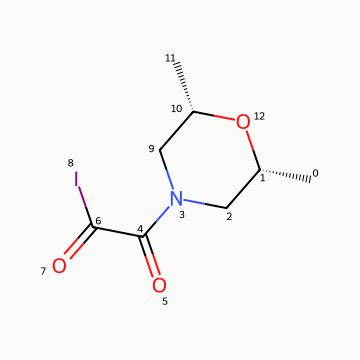 C[C@@H]1CN(C(=O)C(=O)I)C[C@H](C)O1